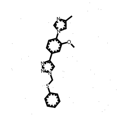 COc1cc(-c2cn(CSc3ccccc3)nn2)ccc1-n1cnc(C)c1